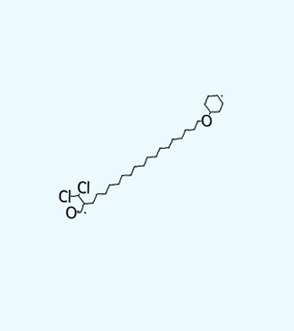 O=[C]C(CCCCCCCCCCCCCCCCCCOC1CC[CH]CC1)C(Cl)Cl